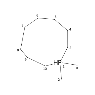 C[PH]1(C)CCCCCCCC1